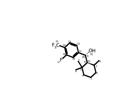 CC1CCCC(C)(C)[C@H]1[C@@H](O)c1ccc(C(F)(F)F)c(F)c1